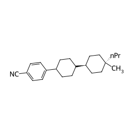 CCC[C@]1(C)CC[C@@H](C2CCC(c3ccc(C#N)cc3)CC2)CC1